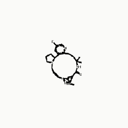 CNc1c2cnn1/C=C\CN1CCCC1c1cc(F)cnc1CCC(C)(C)NC2=O